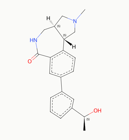 C[C@H](O)c1cccc(-c2ccc3c(c2)C(=O)NC[C@H]2CN(C)C[C@H]32)c1